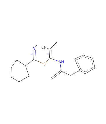 C=C(Cc1ccccc1)N/C(S/C(=N\C)C1CCCCC1)=C(\C)CC